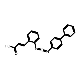 O=C(O)C=Cc1ccccc1N=C=Nc1ccc(-c2ccccc2)cc1